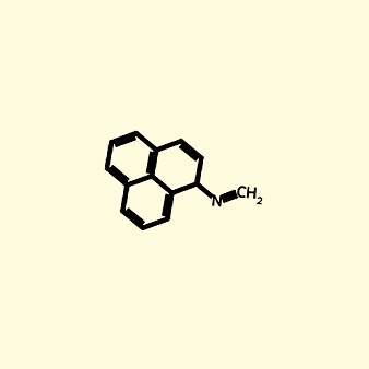 C=NC1C=Cc2cccc3cccc1c23